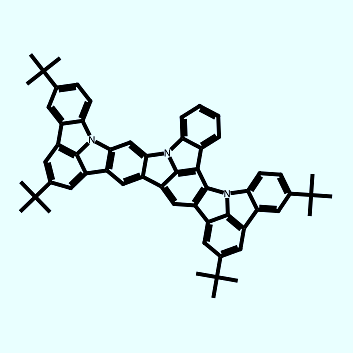 CC(C)(C)c1ccc2c(c1)c1cc(C(C)(C)C)cc3c4cc5c6cc7c8cc(C(C)(C)C)cc9c%10cc(C(C)(C)C)ccc%10n(c98)c7c7c8ccccc8n(c5cc4n2c13)c67